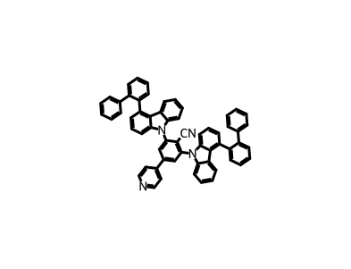 N#Cc1c(-n2c3ccccc3c3c(-c4ccccc4-c4ccccc4)cccc32)cc(-c2ccncc2)cc1-n1c2ccccc2c2c(-c3ccccc3-c3ccccc3)cccc21